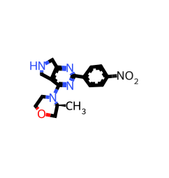 C[C@H]1COCCN1c1nc(-c2ccc([N+](=O)[O-])cc2)nc2c1CNC2